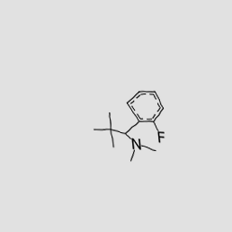 CN(C)C(c1ccccc1F)C(C)(C)C